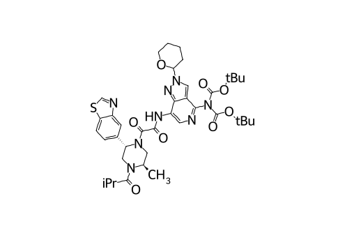 CC(C)C(=O)N1C[C@H](c2ccc3scnc3c2)N(C(=O)C(=O)Nc2cnc(N(C(=O)OC(C)(C)C)C(=O)OC(C)(C)C)c3cn(C4CCCCO4)nc23)C[C@H]1C